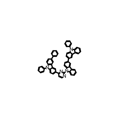 c1ccc(-c2ccc3c(c2)c2cc(-c4ccnc(-n5c6ccccc6c6cc(-c7ccc8c(c7)c7ccccc7n8-c7ccccc7)ccc65)n4)ccc2n3-c2ccccc2)cc1